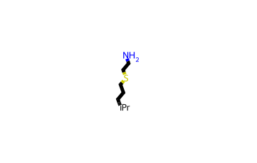 CC(C)CCCSCCN